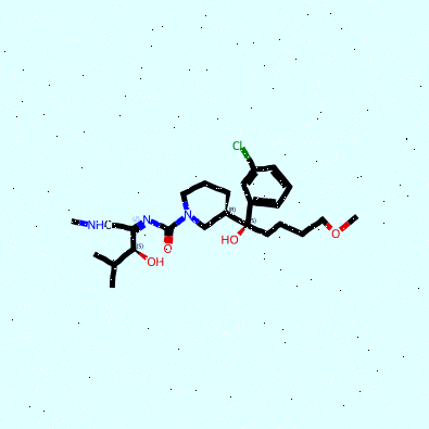 CNC/C(=N/C(=O)N1CCC[C@@H]([C@@](O)(CCCCOC)c2cccc(Cl)c2)C1)[C@@H](O)C(C)C